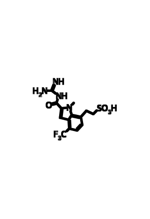 Cn1c(C(=O)NC(=N)N)cc2c(C(F)(F)F)ccc(CCS(=O)(=O)O)c21